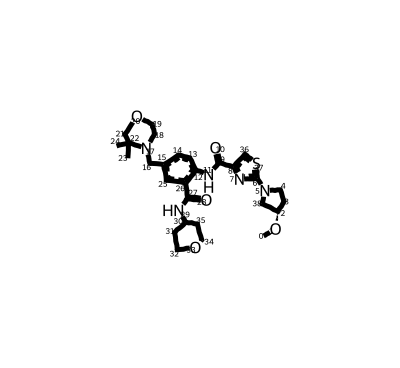 CO[C@H]1CCN(c2nc(C(=O)Nc3ccc(CN4CCOCC4(C)C)cc3C(=O)NC3CCOCC3)cs2)C1